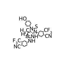 CC1(C)C(NC(=S)Nc2ccc(C#N)c(C(F)(F)F)c2)N(c2ccc(C#N)c(C(F)(F)F)c2)C(=S)N1c1ccc(O)cc1